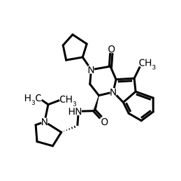 Cc1c2n(c3ccccc13)[C@@H](C(=O)NC[C@@H]1CCCN1C(C)C)CN(C1CCCC1)C2=O